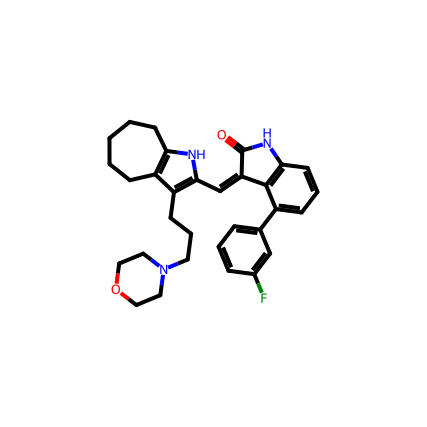 O=C1Nc2cccc(-c3cccc(F)c3)c2/C1=C/c1[nH]c2c(c1CCCN1CCOCC1)CCCCC2